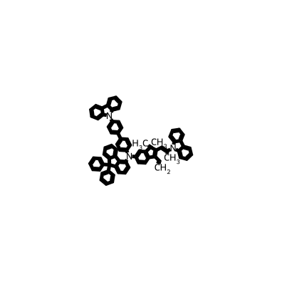 C=CC1=C(/C=C(\C)n2c3ccccc3c3ccccc32)C(C)(C)c2cc(N(c3ccc(-c4ccc(-n5c6ccccc6c6ccccc65)cc4)cc3)c3cccc4c3-c3ccccc3C4(c3ccccc3)c3ccccc3)ccc21